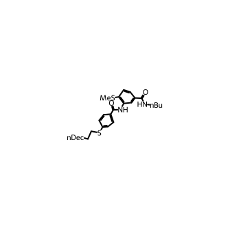 CCCCCCCCCCCCSc1ccc(C(=O)Nc2cc(C(=O)NCCCC)ccc2SC)cc1